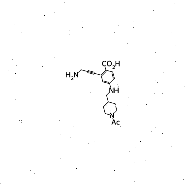 CC(=O)N1CCC(CNc2ccc(C(=O)O)c(C#CCN)c2)CC1